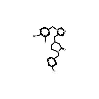 N#Cc1ccc(Cn2cncc2CN2CCN(Cc3cccc(O)c3)C(=O)C2)cc1F